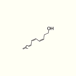 C=C=C/C=C\C=C/CCO